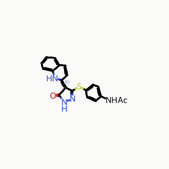 CC(=O)Nc1ccc(SC2=NNC(=O)/C2=C2/C=Cc3ccccc3N2)cc1